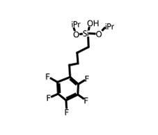 CC(C)O[Si](O)(CCCCc1c(F)c(F)c(F)c(F)c1F)OC(C)C